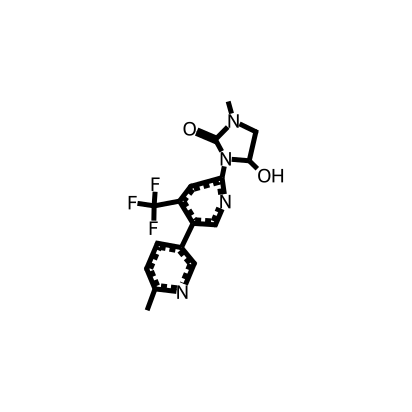 Cc1ccc(-c2cnc(N3C(=O)N(C)CC3O)cc2C(F)(F)F)cn1